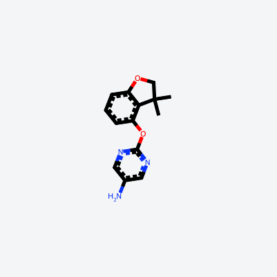 CC1(C)COc2cccc(Oc3ncc(N)cn3)c21